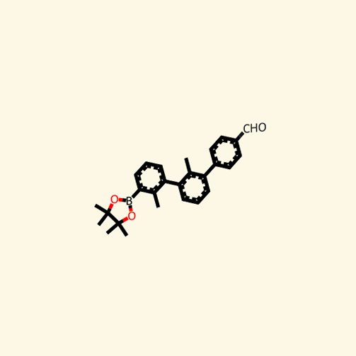 Cc1c(B2OC(C)(C)C(C)(C)O2)cccc1-c1cccc(-c2ccc(C=O)cc2)c1C